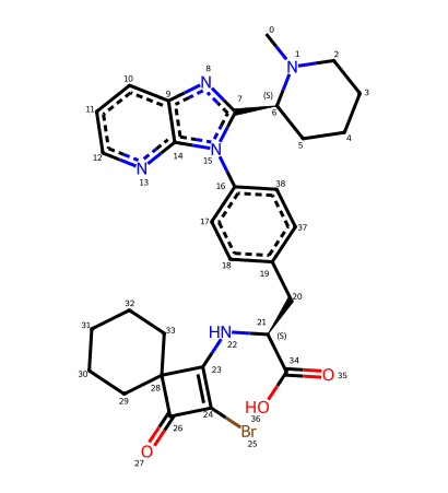 CN1CCCC[C@H]1c1nc2cccnc2n1-c1ccc(C[C@H](NC2=C(Br)C(=O)C23CCCCC3)C(=O)O)cc1